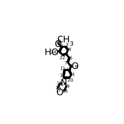 COc1ccc(C=CC(=O)c2ccc(N3CCOCC3)cc2)cc1O